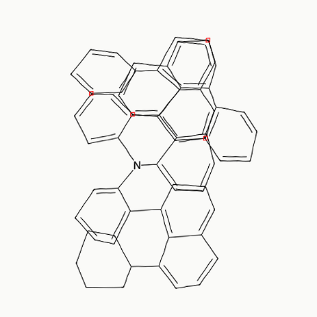 c1ccc(-c2cccc3cccc(-c4ccccc4N(c4ccccc4-c4cccc5cccc(-c6ccccc6)c45)c4ccccc4-c4cccc5cccc(C6CCCCC6)c45)c23)cc1